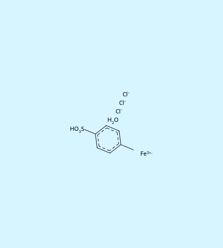 Cc1ccc(S(=O)(=O)O)cc1.O.[Cl-].[Cl-].[Cl-].[Fe+3]